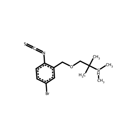 C[SiH](C)C(C)(C)COCc1cc(Br)ccc1N=C=S